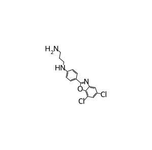 NCCCNc1ccc(-c2nc3cc(Cl)cc(Cl)c3o2)cc1